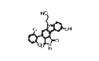 O=C1NC(=O)c2c1c(-c1c(Cl)cccc1Cl)cc1c2c2cc(O)ccc2n1CCO